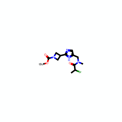 CC(Br)C(=O)N(C)Cc1cnc(C2CN(C(=O)OC(C)(C)C)C2)[nH]1